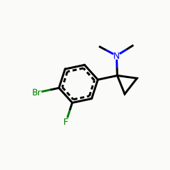 CN(C)C1(c2ccc(Br)c(F)c2)CC1